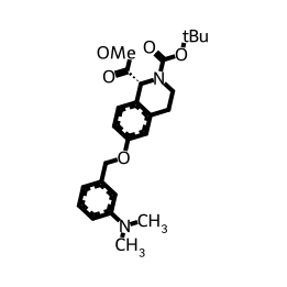 COC(=O)[C@H]1c2ccc(OCc3cccc(N(C)C)c3)cc2CCN1C(=O)OC(C)(C)C